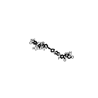 CC1(C)[C@H](Oc2ccc(C#N)c(Cl)c2)C(C)(C)[C@H]1N1Cc2nc(C#CC3CCC(N4CC5CN(c6cc7c(cc6F)C(=O)N(C6CCC(=O)NC6=O)C7=O)CC5C4)CC3)ccc2C1=O